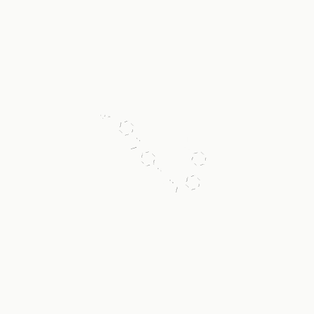 CCOc1cccc(-c2cc(C(=O)N3CCN(c4ccc(C(=O)Nc5ccc(OC)cc5)cc4)CC3)cc(C(F)(F)F)c2)c1